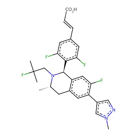 C[C@H]1Cc2cc(-c3cnn(C)c3)c(F)cc2[C@H](c2c(F)cc(/C=C/C(=O)O)cc2F)N1CC(C)(C)F